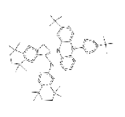 CC(C)(C)c1ccc(N2c3ccc(C(C)(C)C)cc3B3C4=C(c5cc6c(cc5C4)C(C)(C)CCC6(C)C)N(c4ccc5c(c4)C(C)(C)CCC5(C)C)c4cccc2c43)cc1